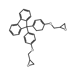 C1=C(OCC2CO2)CCC(C2(c3ccc(OCC4CO4)cc3)c3ccccc3-c3ccccc32)=C1